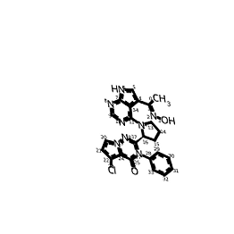 CC(=NO)c1c[nH]c2ncnc(N3CCC[C@H]3c3nn4ccc(Cl)c4c(=O)n3-c3ccccc3)c12